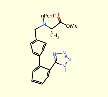 CCCCCN(Cc1ccc(-c2ccccc2-c2nnn[nH]2)cc1)[C@@H](C)C(=O)OC